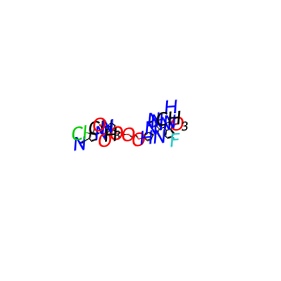 Cc1c(N2C(=O)[C@@H]3C(OCCOCCOc4ccc([C@H]5Nc6cc(F)cc7c(=O)[nH]nc(c67)[C@@H]5c5ncnn5C)cc4)CCN3C2=O)ccc(C#N)c1Cl